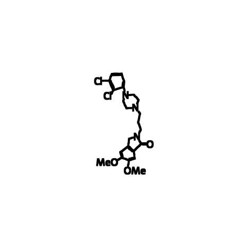 COc1cc2c(cc1OC)C(=O)N(CCCN1CCN(c3cccc(Cl)c3Cl)CC1)C2